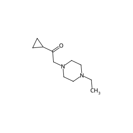 CCN1CCN(CC(=O)C2CC2)CC1